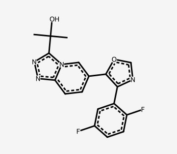 CC(C)(O)c1nnc2ccc(-c3ocnc3-c3cc(F)ccc3F)cn12